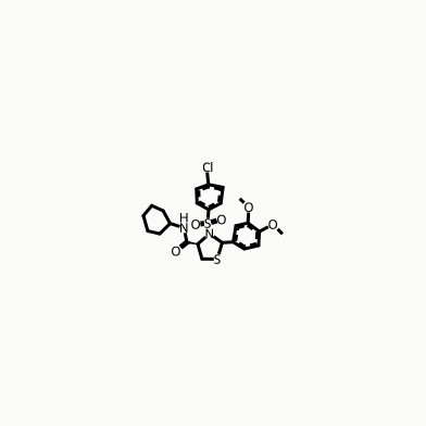 COc1ccc(C2SC[C@@H](C(=O)NC3CCCCC3)N2S(=O)(=O)c2ccc(Cl)cc2)cc1OC